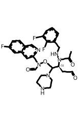 CC(=O)N(NCc1cccc(F)c1F)[C@@H](CC=O)C(ON(C=O)c1cc2cc(F)ccc2cn1)N1CCNCC1